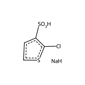 O=S(=O)(O)c1ccsc1Cl.[NaH]